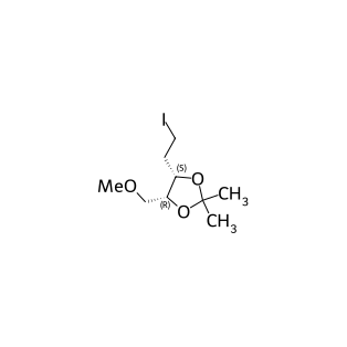 COC[C@H]1OC(C)(C)O[C@H]1CCI